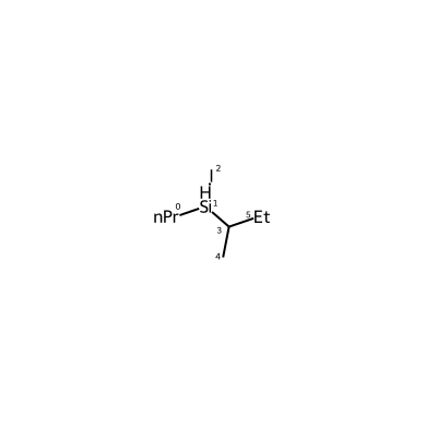 CCC[SiH](I)C(C)CC